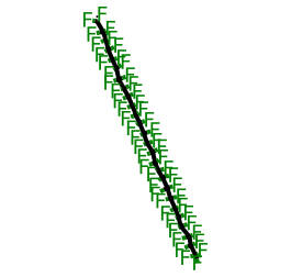 F[C](F)C(F)(F)C(F)(F)C(F)(F)C(F)(F)C(F)(F)C(F)(F)C(F)(F)C(F)(F)C(F)(F)C(F)(F)C(F)(F)C(F)(F)C(F)(F)C(F)(F)C(F)(F)C(F)(F)C(F)(F)C(F)(F)C(F)(F)C(F)(F)C(F)(F)C(F)(F)C(F)(F)C(F)(F)C(F)(F)F